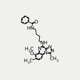 COc1c(C)ccc2c1nc(NCCCCNC(=O)c1ccccc1)c1nnc(C)n12